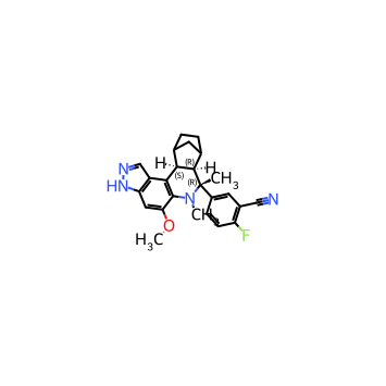 COc1cc2[nH]ncc2c2c1N(C)[C@@](C)(c1ccc(F)c(C#N)c1)[C@@H]1C3CCC(C3)[C@H]21